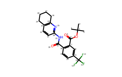 CC(C)(C)OC(=O)c1cc(C(F)(F)F)ccc1C(=O)Nc1ccc2c(n1)CCCC2